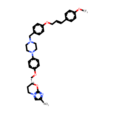 O=[N+]([O-])c1cn2c(n1)O[C@@H](COc1ccc(N3CCN(Cc4ccc(OCC=Cc5ccc(OC(F)(F)F)cc5)cc4)CC3)cc1)CC2